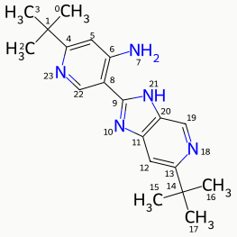 CC(C)(C)c1cc(N)c(-c2nc3cc(C(C)(C)C)ncc3[nH]2)cn1